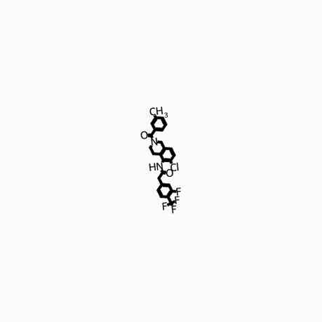 Cc1cccc(C(=O)N2CCc3c(ccc(Cl)c3NC(=O)Cc3ccc(C(F)(F)F)c(F)c3)C2)c1